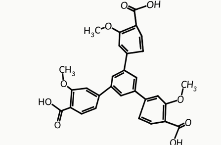 COc1cc(-c2cc(-c3ccc(C(=O)O)c(OC)c3)cc(-c3ccc(C(=O)O)c(OC)c3)c2)ccc1C(=O)O